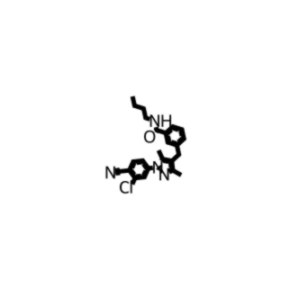 CCCCNC(=O)c1cccc(Cc2c(C)nn(-c3ccc(C#N)c(Cl)c3)c2C)c1